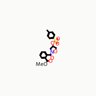 COC(=O)c1ccccc1C(=O)N1CC(OS(=O)(=O)c2ccc(C)cc2)CO1